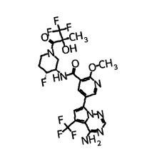 COc1ncc(-c2cc(C(F)(F)F)c3c(N)ncnn23)cc1C(=O)N[C@@H]1CN(C(=O)[C@@](C)(O)C(F)(F)F)CC[C@H]1F